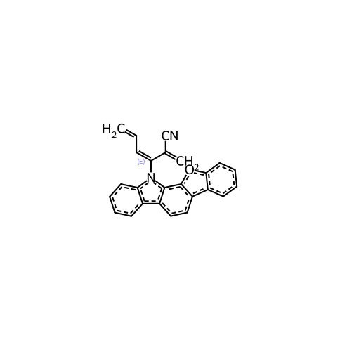 C=C/C=C(\C(=C)C#N)n1c2ccccc2c2ccc3c4ccccc4oc3c21